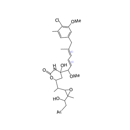 COc1cc(C/C(C)=C/C=C/C(OC)C2(O)CC(C(C)C3OC3(C)C(O)CC(C)=O)OC(=O)N2)cc(C)c1Cl